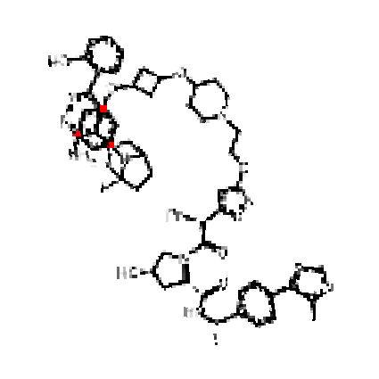 Cc1ncsc1-c1ccc([C@H](C)NC(=O)[C@@H]2C[C@@H](O)CN2C(=O)[C@H](c2cc(OCCN3CCC(OC4CC(Oc5cccc(N6C7CC[C@@H]6CN(c6cc(-c8ccccc8O)nnc6N)C7)c5)C4)CC3)no2)C(C)C)cc1